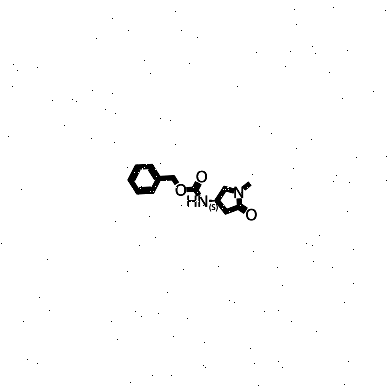 CN1C[C@@H](NC(=O)OCc2ccccc2)CC1=O